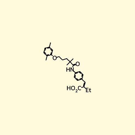 CCC(=Cc1ccc(NC(=O)C(C)(C)CCCOc2cc(C)ccc2C)cc1)C(=O)O